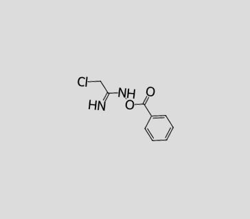 N=C(CCl)NOC(=O)c1ccccc1